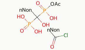 CCCCCCCCCC(=O)Cl.CCCCCCCCCC(O)(P(=O)(O)O)P(=O)(O)OC(C)=O